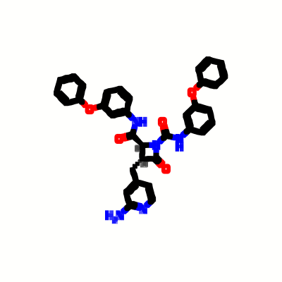 Nc1cc(C[C@H]2C(=O)N(C(=O)Nc3cccc(Oc4ccccc4)c3)[C@@H]2C(=O)Nc2cccc(Oc3ccccc3)c2)ccn1